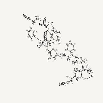 CC(C(=O)N[C@H]1CCS[C@H]2CC(C)(C)[C@@H](C(=O)NC(C(=O)NCc3ccc(CNC(=O)C(NC(=O)[C@H]4N5C(=O)[C@@H](NC(=O)C(C)N(C)C(=O)O)CCS[C@H]5CC4(C)C)c4ccccc4)cc3)c3ccccc3)N2C1=O)N(C)C(=O)O